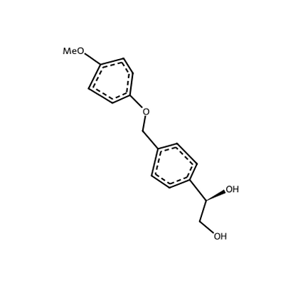 COc1ccc(OCc2ccc([C@@H](O)CO)cc2)cc1